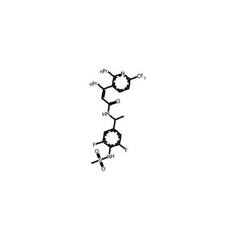 CCC/C(=C/C(=O)NC(C)c1cc(F)c(NS(C)(=O)=O)c(F)c1)c1ccc(C(F)(F)F)nc1CCC